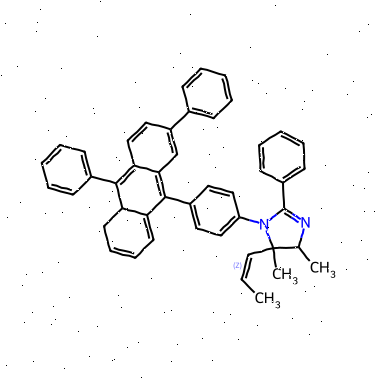 C/C=C\C1(C)C(C)N=C(c2ccccc2)N1c1ccc(C2=c3cc(-c4ccccc4)ccc3=C(c3ccccc3)C3CC=CC=C23)cc1